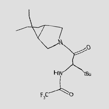 CC(C)(C)C(NC(=O)C(F)(F)F)C(=O)N1CC2C(C1)C2(C)C